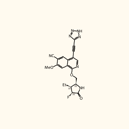 CC[C@@H]1[C@H](F)C(=O)N[C@@H]1COc1ncc(C#Cc2nn[nH]n2)c2cc(C#N)c(OC)cc12